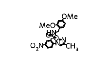 COc1ccc(CNS(=O)(=O)c2cc([N+](=O)[O-])ccc2-n2cnc(C)c2)c(OC)c1